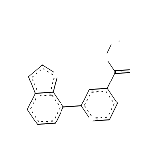 CC(C)(C)OC(=O)c1ccnc(-c2cccc3ccoc23)c1